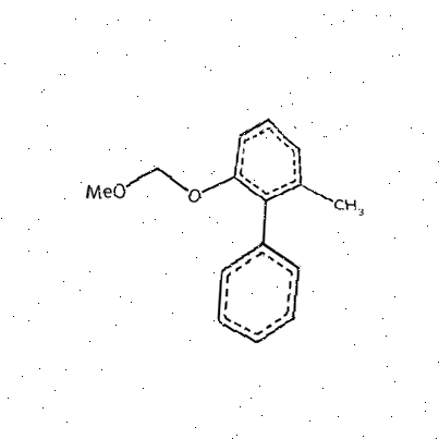 COCOc1cccc(C)c1-c1ccccc1